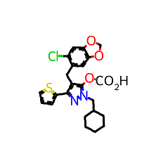 O=C(O)Oc1c(Cc2cc3c(cc2Cl)OCO3)c(-c2cccs2)nn1CC1CCCCC1